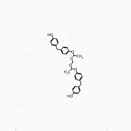 CC(OCOC(C)Oc1ccc(Cc2ccc(O)cc2)cc1)Oc1ccc(Cc2ccc(O)cc2)cc1